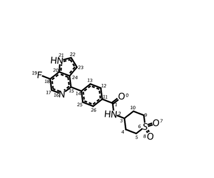 O=C(NC1CCS(=O)(=O)CC1)c1ccc(-c2ncc(F)c3[nH]ccc23)cc1